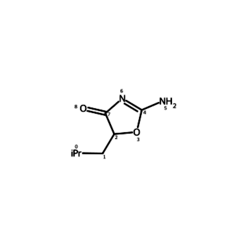 CC(C)CC1OC(N)=NC1=O